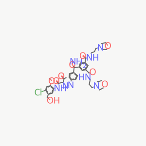 COc1cc(Cl)c(CO)cc1NC(=O)C(/N=N\c1ccc(C(ON)c2cc(C(=O)NCCCN3CCOCC3)cc(C(=O)NCCCN3CCOCC3)c2)cc1)C(C)=O